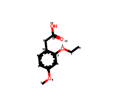 CCOc1cc(OC)ccc1CC(=O)O